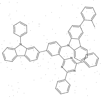 Cc1ccccc1-c1ccc2c(c1)c1ccccc1n2-c1ccc(-c2ccc3c4ccccc4n(-c4ccccc4)c3c2)cc1-c1nc(-c2ccccc2)nc(-c2ccccc2)n1